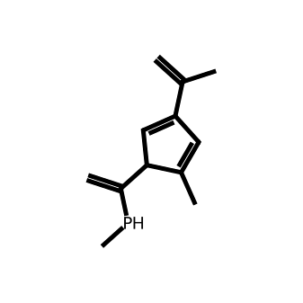 C=C(C)C1=CC(C(=C)PC)C(C)=C1